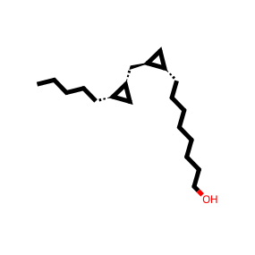 CCCCC[C@H]1C[C@H]1C[C@H]1C[C@@H]1CCCCCCCCO